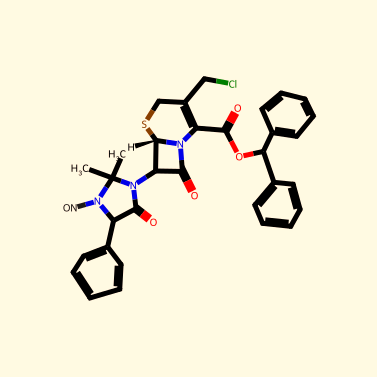 CC1(C)N(N=O)C(c2ccccc2)C(=O)N1C1C(=O)N2C(C(=O)OC(c3ccccc3)c3ccccc3)=C(CCl)CS[C@@H]12